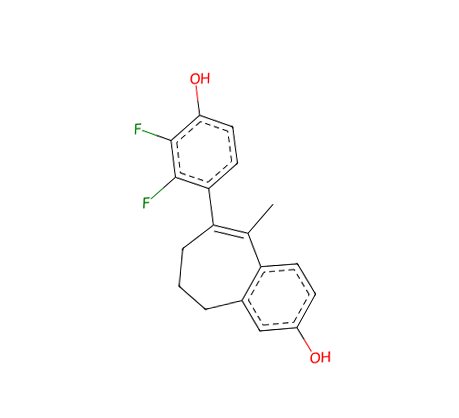 CC1=C(c2ccc(O)c(F)c2F)CCCc2cc(O)ccc21